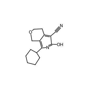 N#Cc1c(O)nc(C2CCCCC2)c2c1CCOC2